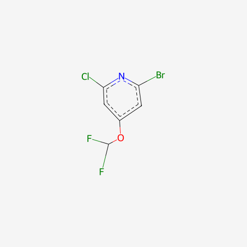 FC(F)Oc1cc(Cl)nc(Br)c1